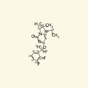 [2H]C([2H])(Oc1cc2n(c(=O)n1)CC(C)(C)N2CC)c1cccc(F)c1F